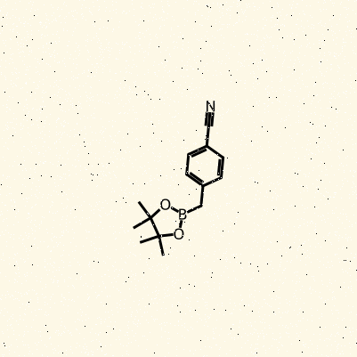 CC1(C)OB(Cc2ccc(C#N)cc2)OC1(C)C